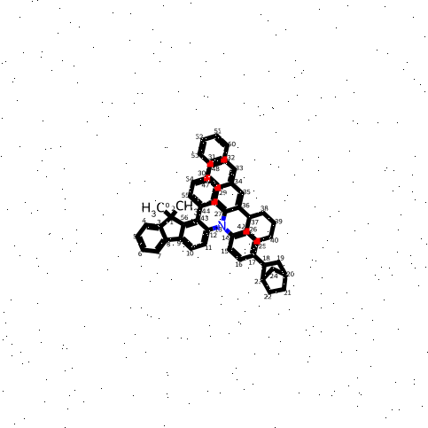 CC1(C)c2ccccc2-c2ccc(N(c3ccc(C4CC5CCC4C5)cc3)c3cc4ccccc4cc3C3CCCCC3)c(-c3ccc(-c4ccccc4)cc3)c21